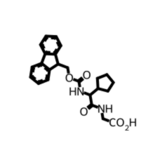 O=C(O)CNC(=O)C(NC(=O)OCC1c2ccccc2-c2ccccc21)C1CCCC1